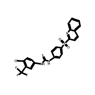 O=S(=O)(c1ccc(NC(=S)Nc2ccc(Cl)c(C(F)(F)F)c2)cc1)c1ccc2ccccc2n1